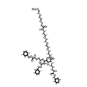 COCCOCCOCCC(=O)NCCCOCCOCCOCCCNC(=O)[C@H](CCCCNC(=O)OCc1ccccc1)NC(=O)[C@H](CCCCNC(=O)OCc1ccccc1)NC(=O)OCc1ccccc1